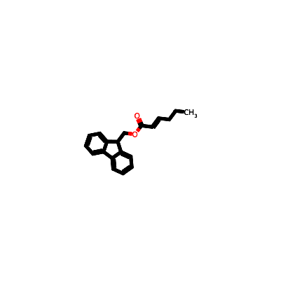 C[CH]CC=CC(=O)OCC1c2ccccc2-c2ccccc21